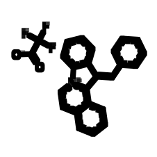 C(=C1/c2ccccc2-[n+]2ccc3ccccc3c21)/c1ccccc1.O=C([O-])C(F)(F)F